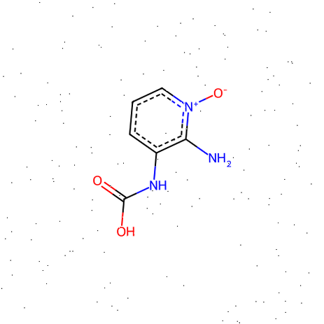 Nc1c(NC(=O)O)ccc[n+]1[O-]